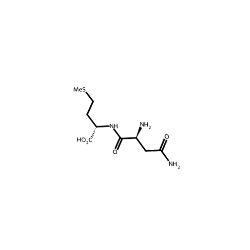 CSCC[C@H](NC(=O)[C@@H](N)CC(N)=O)C(=O)O